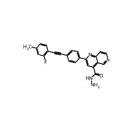 Cc1ccc(C#Cc2ccc(-c3cc(C(=O)NN)c4cnccc4n3)cc2)c(F)c1